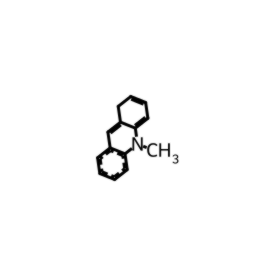 CN1C2=CC=CCC2=Cc2ccccc21